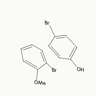 COc1ccccc1Br.Oc1ccc(Br)cc1